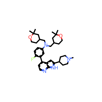 CN1CCC(c2cc3c(-c4cc(N(CC5CCOC(C)(C)C5)CC5CCOC(C)(C)C5)ccc4F)ccnc3[nH]2)CC1